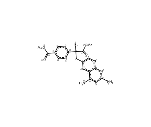 CCC(Cc1cnc2nc(N)nc(N)c2n1)(C(=O)OC)c1ccc(C(=O)OC)cn1